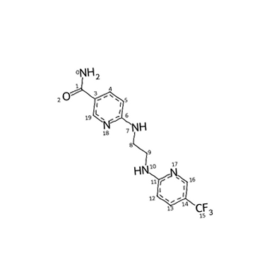 NC(=O)c1ccc(NCCNc2ccc(C(F)(F)F)cn2)nc1